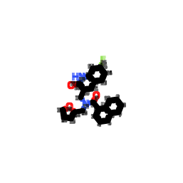 O=C(c1cccc2ccccc12)N(Cc1ccco1)Cc1cc2ccc(F)cc2[nH]c1=O